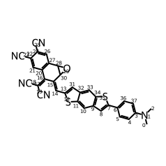 CN(C)c1ccc(-c2cc3cc4sc(/C=C5/C(=C(C#N)C#N)c6cc(C#N)c(C#N)cc6C6OC56)cc4cc3s2)cc1